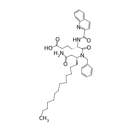 CCCCCCCCCCCCC[C@@H](CC(N)=O)N(Cc1ccccc1)C(=O)[C@H](CCCC(=O)O)NC(=O)c1ccc2ccccc2n1